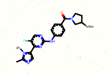 CNC1CCN(C(=O)c2ccc(Nc3ncc(F)c(-c4cnc(C)n4C(C)C)n3)cc2)C1